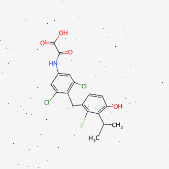 CC(C)c1c(O)ccc(Cc2c(Cl)cc(NC(=O)C(=O)O)cc2Cl)c1F